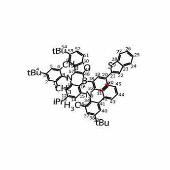 Cc1cc(C(C)(C)C)cc(C)c1N1c2cc(C(C)C)cc3c2B(c2cc(-c4cc5ccccc5s4)ccc2N3c2c(C)cc(C(C)(C)C)cc2-c2ccccc2)c2oc3ccc(C(C)(C)C)cc3c21